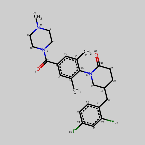 Cc1cc(C(=O)N2CCN(C)CC2)cc(C)c1N1CC(Cc2ccc(F)cc2F)CCC1=O